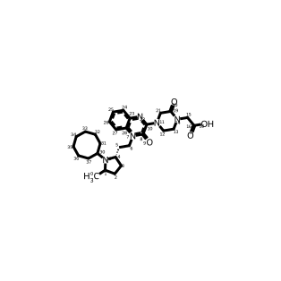 CC1CC[C@@H](CCn2c(=O)c(N3CCN(CC(=O)O)C(=O)C3)nc3ccccc32)N1C1CCCCCCC1